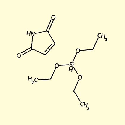 CCO[SiH](OCC)OCC.O=C1C=CC(=O)N1